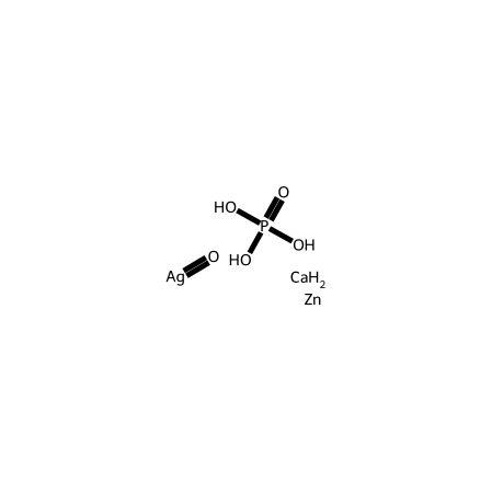 O=P(O)(O)O.[CaH2].[O]=[Ag].[Zn]